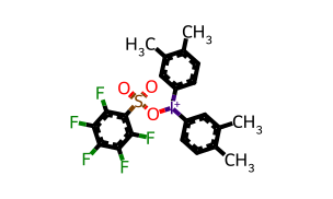 Cc1ccc([I+](OS(=O)(=O)c2c(F)c(F)c(F)c(F)c2F)c2ccc(C)c(C)c2)cc1C